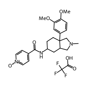 COc1ccc(C23CCC(NC(=O)c4cc[n+]([O-])cc4)CC2CN(C)C3)cc1OC.O=C(O)C(F)(F)F